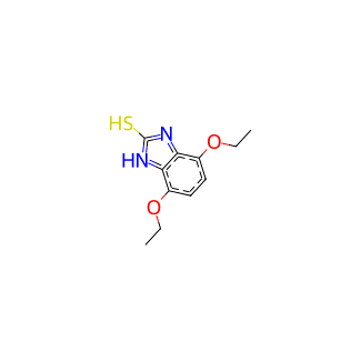 CCOc1ccc(OCC)c2[nH]c(S)nc12